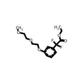 CCOC(=O)C(F)(F)c1cccc(OCCOCCOC)c1